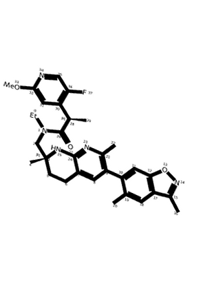 CCN(C[C@@]1(C)CCc2cc(-c3cc4onc(C)c4cc3C)c(C)nc2N1)C(=O)[C@H](C)c1cc(OC)ncc1F